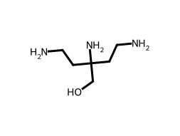 NCCC(N)(CO)CCN